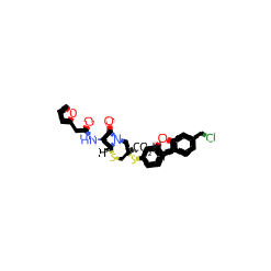 O=C(Cc1ccco1)N[C@@H]1C(=O)N2CC(Sc3ccc4c(c3)oc3cc(CCl)ccc34)(C(=O)O)CS[C@H]12